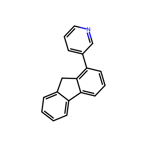 c1cncc(-c2cccc3c2Cc2ccccc2-3)c1